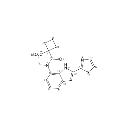 CCOC(=O)C1(C(=O)N(C)c2cccc3cc(-c4nccs4)[nH]c23)CCC1